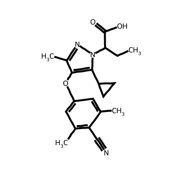 CCC(C(=O)O)n1nc(C)c(Oc2cc(C)c(C#N)c(C)c2)c1C1CC1